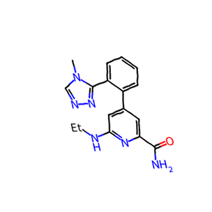 CCNc1cc(-c2ccccc2-c2nncn2C)cc(C(N)=O)n1